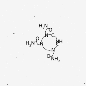 NC(=O)CN1CCCN(CC(N)=O)CCN(CC(N)=O)CCCNCC1